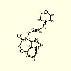 O=C1COc2cccc3onc(c23)N1CC#CCN1CCOCC1